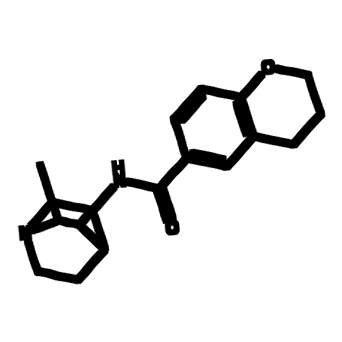 CC1C(NC(=O)c2ccc3c(c2)CCCO3)C2CCN1CC2